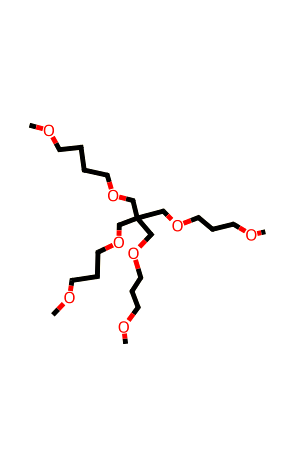 COCCCCOCC(COCCCOC)(COCCCOC)COCCCOC